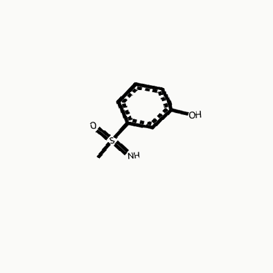 CS(=N)(=O)c1cccc(O)c1